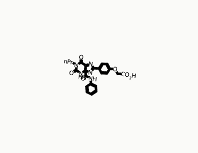 CCCN1C(=O)C2=NC(c3ccc(OCC(=O)O)cc3)=NC2(C(=O)Nc2ccccc2)N(CCC)C1=O